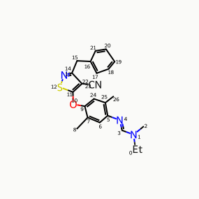 CCN(C)C=Nc1cc(C)c(Oc2snc(Cc3ccccc3)c2C#N)cc1C